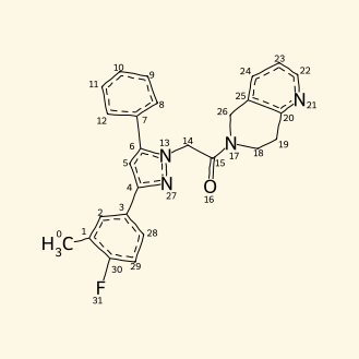 Cc1cc(-c2cc(-c3ccccc3)n(CC(=O)N3CCc4ncccc4C3)n2)ccc1F